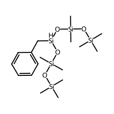 C[Si](C)(C)O[Si](C)(C)O[SiH](Cc1ccccc1)O[Si](C)(C)O[Si](C)(C)C